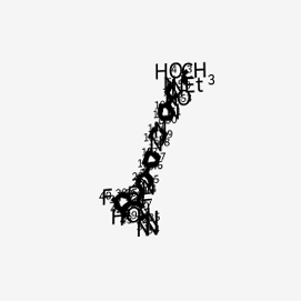 CCC(C(C)O)n1ncn(-c2ccc(N3CCN(c4ccc(-c5ccc(C(F)(F)C(O)(Cn6cnnn6)c6ccc(F)cc6F)nc5)cc4)CC3)cn2)c1=O